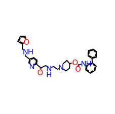 O=C(Nc1ccccc1-c1ccccc1)OC1CCN(CCNCC(=O)c2ccc(CNCc3ccco3)cn2)CC1